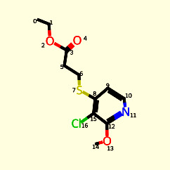 CCOC(=O)CCSc1ccnc(OC)c1Cl